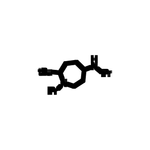 CC(C)NC1CCC(C(C)(C)C)N(C(C)C)CC1